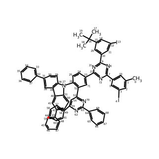 Cc1cc(I)cc(-c2nc(-c3cc(I)cc(C(C)(C)C)c3)nc(-c3ccc(-n4c5ccc(-c6ccccc6)cc5c5cc(-c6ccccc6)ccc54)c(-c4cc(-c5ccccc5)nc(-c5ccccc5)n4)c3)n2)c1